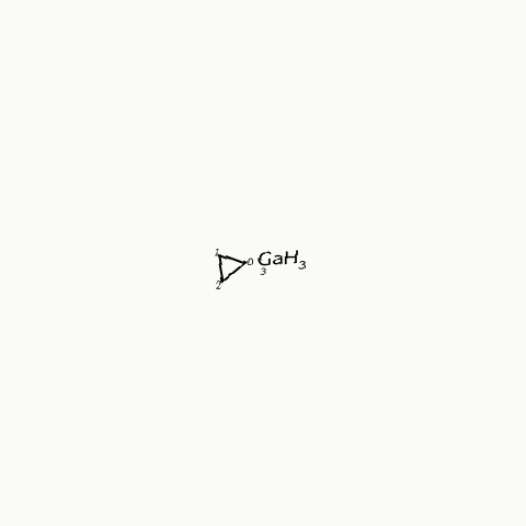 C1CC1.[GaH3]